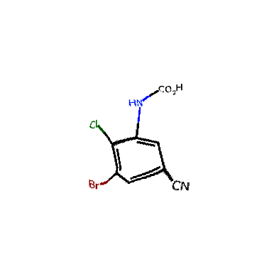 N#Cc1cc(Br)c(Cl)c(NC(=O)O)c1